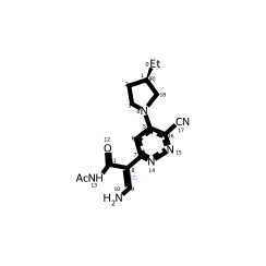 CC[C@@H]1CCN(c2cc(/C(=C/N)C(=O)NC(C)=O)nnc2C#N)C1